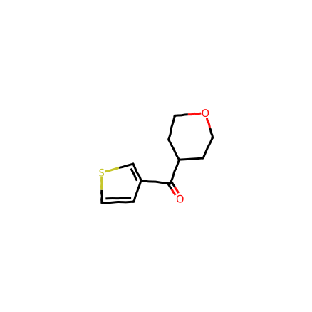 O=C(c1ccsc1)C1CCOCC1